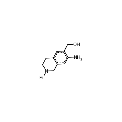 CCN1CCc2cc(CO)c(N)cc2C1